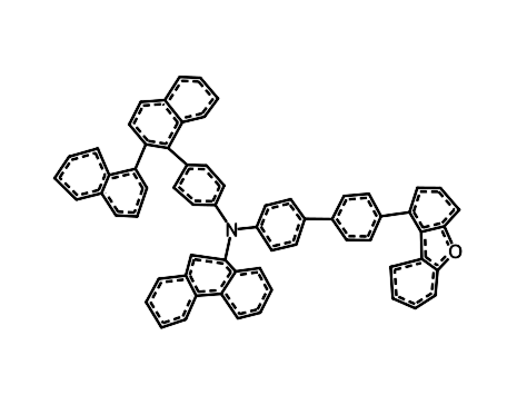 c1ccc2c(-c3ccc4ccccc4c3-c3ccc(N(c4ccc(-c5ccc(-c6cccc7oc8ccccc8c67)cc5)cc4)c4cc5ccccc5c5ccccc45)cc3)cccc2c1